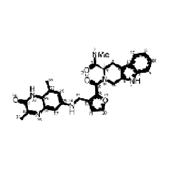 CNC(=O)[C@H]1Cc2c([nH]c3ccccc23)CN1C(=O)c1occc1CNC1=CC(C)C2NC(=O)C(C)=NC2=C1